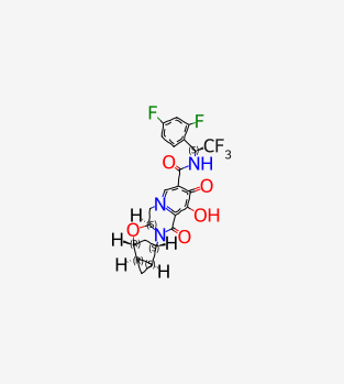 O=C(N[C@@H](c1ccc(F)cc1F)C(F)(F)F)c1cn2c(c(O)c1=O)C(=O)N1[C@H](C2)O[C@@H]2C[C@H]1[C@H]1C[C@H]12